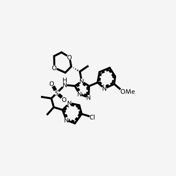 COc1cccc(-c2nnc(NS(=O)(=O)C(C)C(C)c3ncc(Cl)cn3)n2C(C)[C@@H]2COCCO2)n1